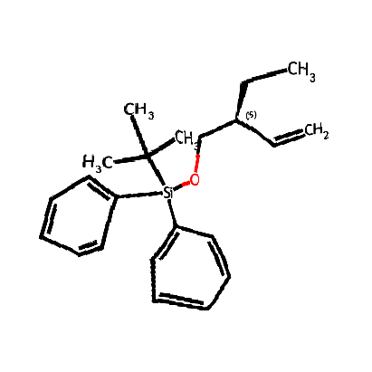 C=C[C@H](CC)CO[Si](c1ccccc1)(c1ccccc1)C(C)(C)C